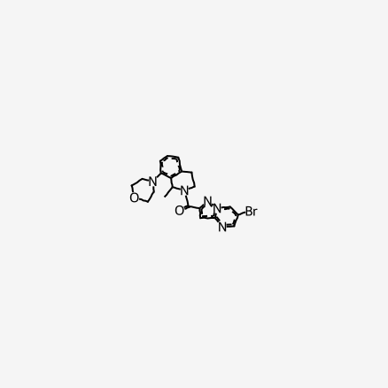 CC1c2c(cccc2N2CCOCC2)CCN1C(=O)c1cc2ncc(Br)cn2n1